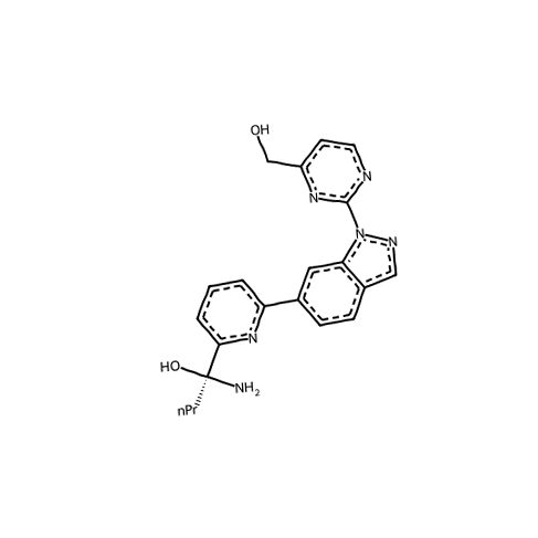 CCC[C@](N)(O)c1cccc(-c2ccc3cnn(-c4nccc(CO)n4)c3c2)n1